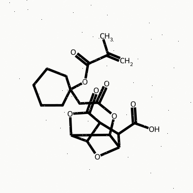 C=C(C)C(=O)OC1(CC(=O)OC2C3OC(=O)C4C3OC2C4C(=O)O)CCCCC1